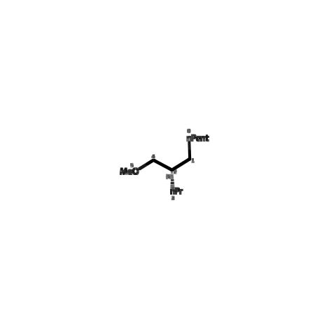 CCCCCC[C@H](CCC)COC